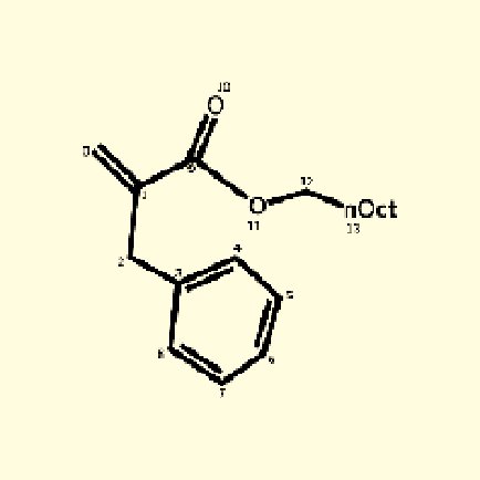 C=C(Cc1ccccc1)C(=O)OCCCCCCCCC